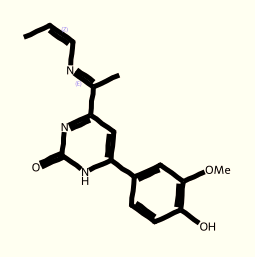 C/C=C\N=C(/C)c1cc(-c2ccc(O)c(OC)c2)[nH]c(=O)n1